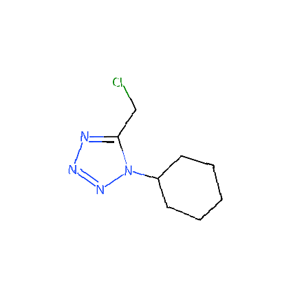 ClCc1nnnn1C1CCCCC1